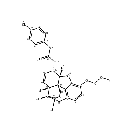 COCOc1ccc2c3c1O[C@H]1[C@@H](OC(=O)Cc4ccc(Cl)cc4)C=C[C@H]4[C@@H](C2)N(C)CC[C@@]341